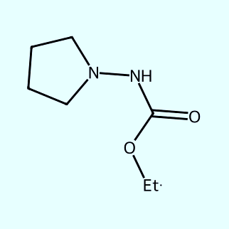 C[CH]OC(=O)NN1CCCC1